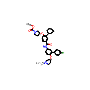 CC(C)(C)OC(=O)N1CC[C@H](Oc2ccc(C(=O)Nc3ccc(O[C@H]4CCN(C(=O)O)C4)c(-c4ccc(F)cc4)c3)cc2C2CCCCC2)C1